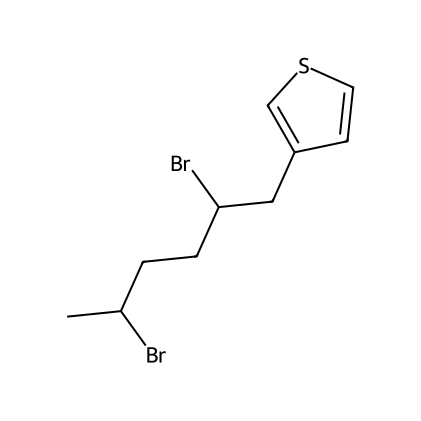 CC(Br)CCC(Br)Cc1ccsc1